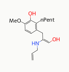 C=CCN/C(=C/O)Cc1ccc(OC)c(O)c1CCCCC